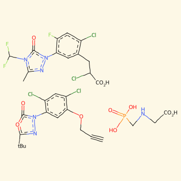 C#CCOc1cc(-n2nc(C(C)(C)C)oc2=O)c(Cl)cc1Cl.Cc1nn(-c2cc(CC(Cl)C(=O)O)c(Cl)cc2F)c(=O)n1C(F)F.O=C(O)CNCP(=O)(O)O